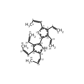 C=Cc1c(/C=C\C)sc(-c2[nH]c(/C=C\C)c(/C=C\C)c2C=C)c1C=C